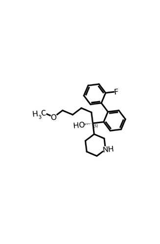 COCCCC[C@@](O)(c1ccccc1-c1ccccc1F)C1CCCNC1